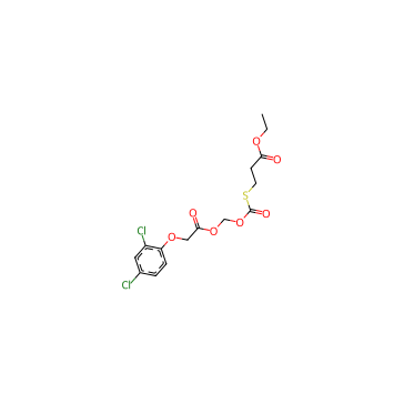 CCOC(=O)CCSC(=O)OCOC(=O)COc1ccc(Cl)cc1Cl